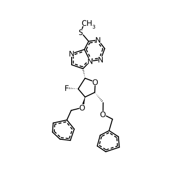 CSc1ncnn2c([C@@H]3O[C@H](COCc4ccccc4)[C@@H](OCc4ccccc4)[C@@H]3F)cnc12